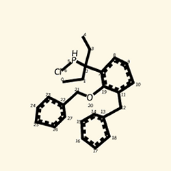 CCC(CC)(PCl)c1cccc(Cc2ccccc2)c1OCc1ccccc1